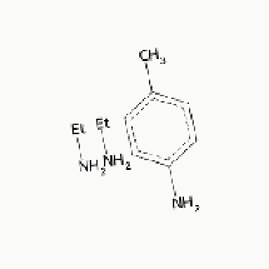 CCN.CCN.Cc1ccc(N)cc1